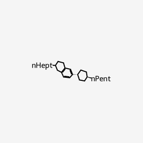 CCCCCCCC1CCc2cc([C@H]3CC[C@H](CCCCC)CC3)ccc2C1